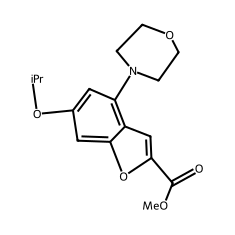 COC(=O)c1cc2c(N3CCOCC3)cc(OC(C)C)cc2o1